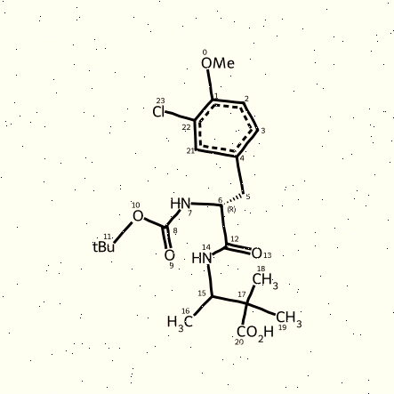 COc1ccc(C[C@@H](NC(=O)OC(C)(C)C)C(=O)NC(C)C(C)(C)C(=O)O)cc1Cl